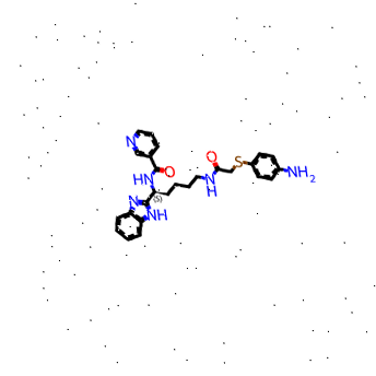 Nc1ccc(SCC(=O)NCCCC[C@H](NC(=O)c2cccnc2)c2nc3ccccc3[nH]2)cc1